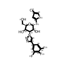 OC[C@H]1O[C@H](Sc2cc(Cl)cs2)[C@H](O)[C@@H](n2cc(-c3cc(F)c(F)c(F)c3)nn2)[C@H]1O